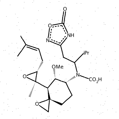 CO[C@@H]1[C@H](N(C(=O)O)C(Cc2noc(=O)[nH]2)C(C)C)CC[C@]2(CO2)[C@H]1[C@@]1(C)O[C@@H]1CC=C(C)C